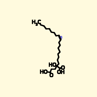 CCCCCCCC/C=C\CCCCCCCCC(O)(CCC(=O)O)C(=O)O